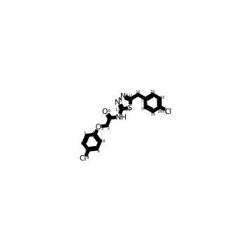 O=C(COc1ccc(Cl)cc1)Nc1nnc(Cc2ccc(Cl)cc2)s1